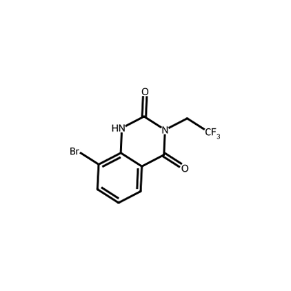 O=c1[nH]c2c(Br)cccc2c(=O)n1CC(F)(F)F